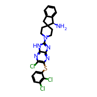 N[C@@H]1c2ccccc2CC12CCN(c1nc3nc(Sc4cccc(Cl)c4Cl)c(Cl)nc3[nH]1)CC2